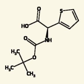 CC(C)(C)OC(=O)N[C@@H](C(=O)O)c1cccs1